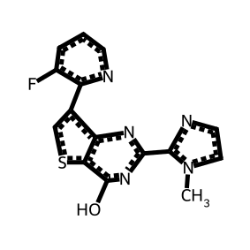 Cn1ccnc1-c1nc(O)c2scc(-c3ncccc3F)c2n1